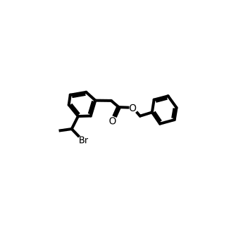 CC(Br)c1cccc(CC(=O)OCc2ccccc2)c1